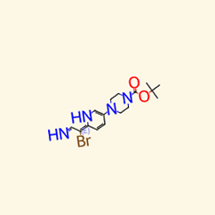 CC(C)(C)OC(=O)N1CCN(C2=CN/C(=C(/Br)C=N)C=C2)CC1